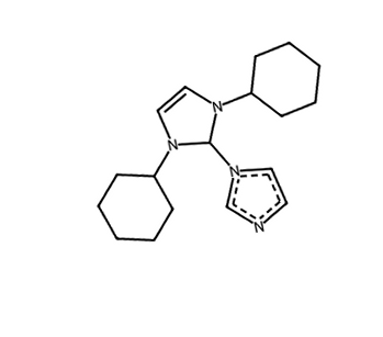 C1=CN(C2CCCCC2)C(n2ccnc2)N1C1CCCCC1